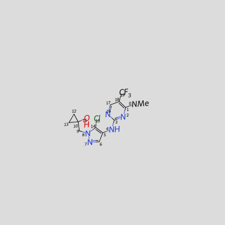 CNc1nc(Nc2cnn(CC3(O)CC3)c2Cl)ncc1C(F)(F)F